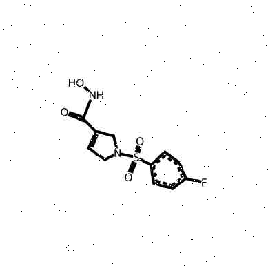 O=C(NO)C1=CCN(S(=O)(=O)c2ccc(F)cc2)C1